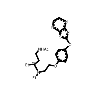 CC[C@@H](CCNC(C)=O)N(CC)CCOc1ccc(Oc2nc3nccnc3s2)cc1